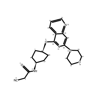 N#CCC(=O)N[C@H]1CC[C@@H](Oc2nc(N3CCOCC3)cc3ncccc23)CC1